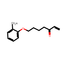 C=CC(=O)CCCCOc1ccccc1C(=O)O